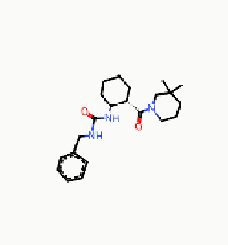 CC1(C)CCCN(C(=O)[C@H]2CCCC[C@H]2NC(=O)NCc2ccccc2)C1